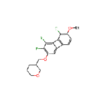 CCOc1ccc2c(c1F)-c1c-2cc(OCC2CCCOC2)c(F)c1F